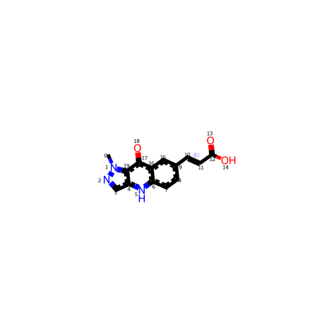 Cn1ncc2[nH]c3ccc(/C=C/C(=O)O)cc3c(=O)c21